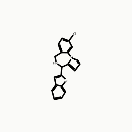 Clc1ccc2c(c1)-n1cccc1C(c1cc3ccccc3s1)NC2